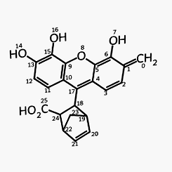 C=c1ccc2c(c1O)Oc1c(ccc(O)c1O)C=2C1C2C=CC(C2)C1C(=O)O